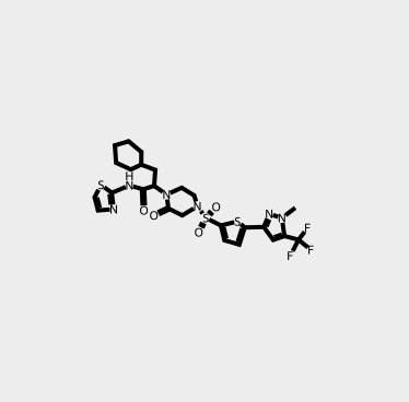 Cn1nc(-c2ccc(S(=O)(=O)N3CCN(C(CC4CCCCC4)C(=O)Nc4nccs4)C(=O)C3)s2)cc1C(F)(F)F